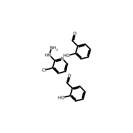 NNc1ncccc1Cl.O=Cc1ccccc1O.O=Cc1ccccc1O